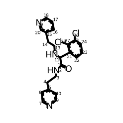 O=C(NCCc1ccncc1)C(NCCc1cccnc1)c1cccc(Cl)c1Cl